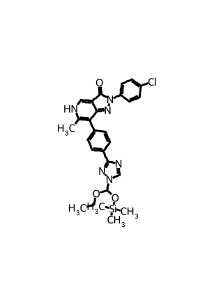 CCOC(O[Si](C)(C)C)n1cnc(-c2ccc(-c3c4nn(-c5ccc(Cl)cc5)c(=O)c-4c[nH]c3C)cc2)n1